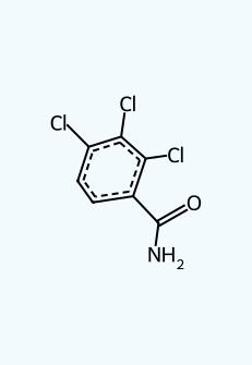 NC(=O)c1ccc(Cl)c(Cl)c1Cl